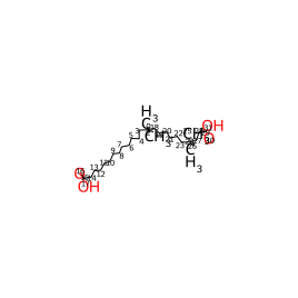 CC(C)(CCCCCCCCCCCCC(=O)O)CCCCCCC(C)(C)CCC(=O)O